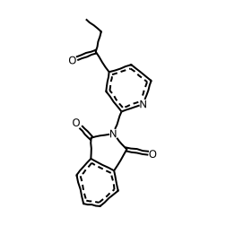 CCC(=O)c1ccnc(N2C(=O)c3ccccc3C2=O)c1